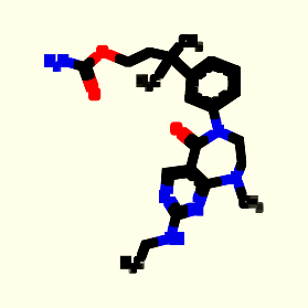 CCNc1ncc2c(n1)N(C)CCN(c1cccc(C(C)(C)CCOC(N)=O)c1)C2=O